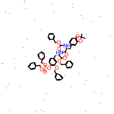 CC1(C)Oc2ccc(C[C@H](NC(=O)OCc3ccccc3)C(=O)N[C@@H](Cc3ccc(OP(=O)(OCc4ccccc4)OCc4ccccc4)c(OCc4ccccc4)c3)C(=O)OCc3ccccc3)cc2O1